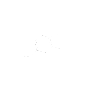 COc1ccc(C(C)(C)C)c(I)c1